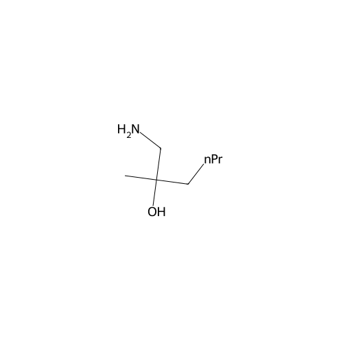 CCCCC(C)(O)CN